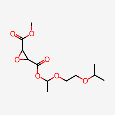 COC(=O)C1OC1C(=O)OC(C)OCCOC(C)C